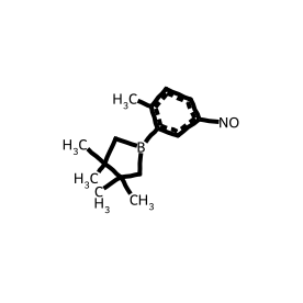 Cc1ccc(N=O)cc1B1CC(C)(C)C(C)(C)C1